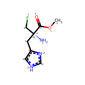 COC(=O)[C@](N)(CF)Cc1c[nH]cn1